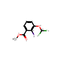 COC(=O)c1cccc(OC(F)F)c1I